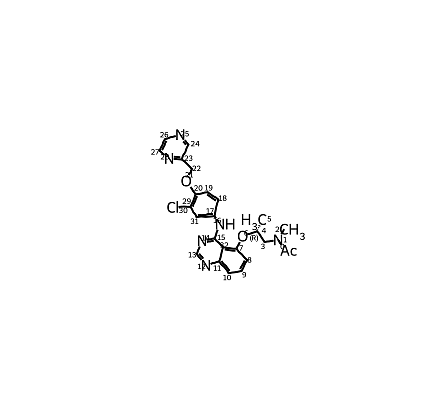 CC(=O)N(C)C[C@@H](C)Oc1cccc2ncnc(Nc3ccc(OCc4cnccn4)c(Cl)c3)c12